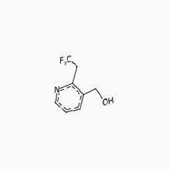 OCc1cccnc1CC(F)(F)F